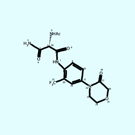 CC(=O)N[C@@H](C(N)=O)C(=O)Nc1ccc(N2CCOCC2=O)cc1C(F)(F)F